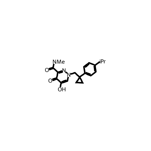 CNC(=O)c1nn(CC2(c3ccc(C(C)C)cc3)CC2)cc(O)c1=O